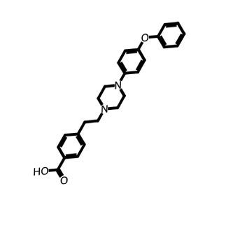 O=C(O)c1ccc(CCN2CCN(c3ccc(Oc4ccccc4)cc3)CC2)cc1